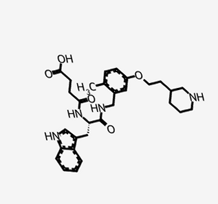 Cc1ccc(OCCC2CCCNC2)cc1CNC(=O)[C@H](Cc1c[nH]c2ccccc12)NC(=O)CCC(=O)O